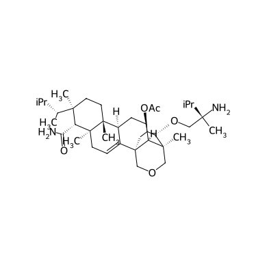 CC(=O)O[C@@H]1C[C@@]23COC[C@@](C)([C@@H]2CC[C@H]2C3=CC[C@@]3(C)[C@H](C(N)=O)[C@@](C)([C@H](C)C(C)C)CC[C@]23C)[C@H]1OC[C@@](C)(N)C(C)C